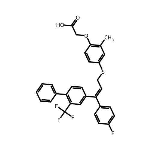 Cc1cc(SCC=C(c2ccc(F)cc2)c2ccc(-c3ccccc3)c(C(F)(F)F)c2)ccc1OCC(=O)O